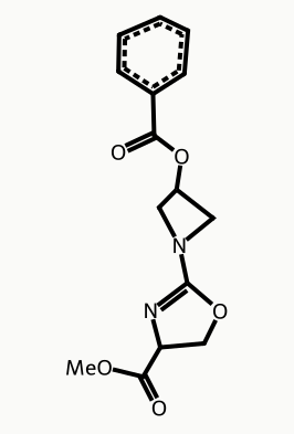 COC(=O)C1COC(N2CC(OC(=O)c3ccccc3)C2)=N1